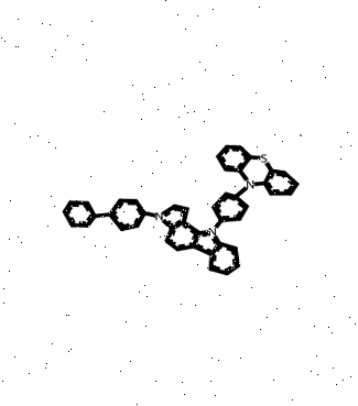 c1ccc(-c2ccc(-n3ccc4c3ccc3c5ccccc5n(-c5ccc(N6c7ccccc7Sc7ccccc76)cc5)c34)cc2)cc1